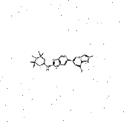 Cc1cn2cc(-c3cc4sc(NC5CC(C)(C)N(C)C(C)(C)C5)nc4cn3)cc(F)c2n1